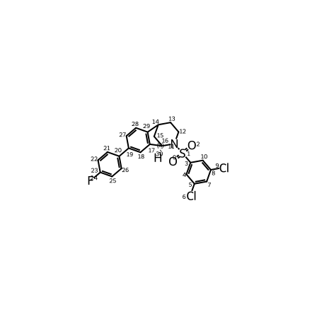 O=S(=O)(c1cc(Cl)cc(Cl)c1)N1CCC2C[C@@H]1c1cc(-c3ccc(F)cc3)ccc12